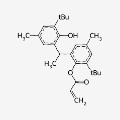 C=CC(=O)Oc1c(C(C)c2cc(C)cc(C(C)(C)C)c2O)cc(C)cc1C(C)(C)C